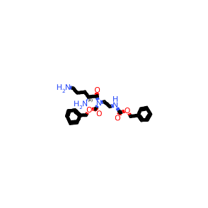 NCCC[C@@H](N)C(=O)N(CCNC(=O)OCc1ccccc1)C(=O)OCc1ccccc1